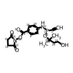 C#CP(Nc1ccc(C(=O)ON2C(=O)CCC2=O)cc1)OC(C)(C)CCO